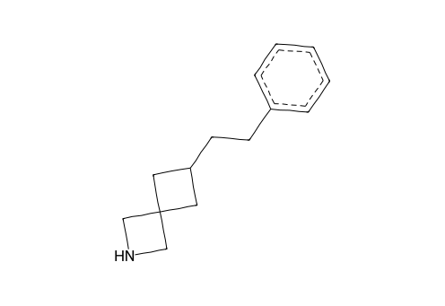 c1ccc(CCC2CC3(CNC3)C2)cc1